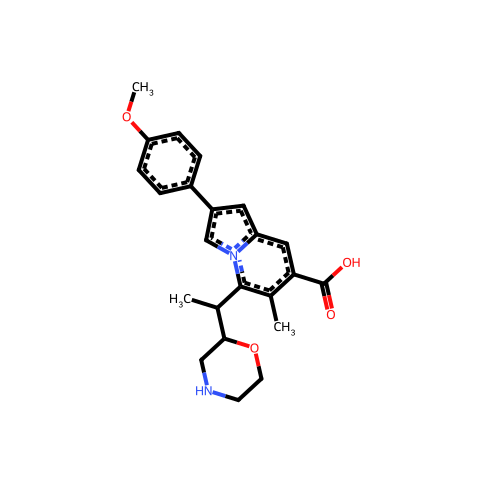 COc1ccc(-c2cc3cc(C(=O)O)c(C)c(C(C)C4CNCCO4)n3c2)cc1